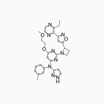 CCc1nccnc1-c1cc(C2CCN2c2nc(OCCOC)cc(N(c3cccc(C)c3)c3cc[nH]n3)n2)on1